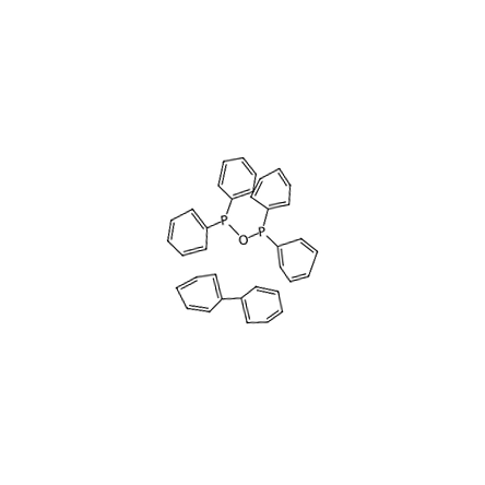 c1ccc(-c2ccccc2)cc1.c1ccc(P(OP(c2ccccc2)c2ccccc2)c2ccccc2)cc1